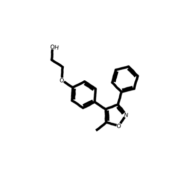 Cc1onc(-c2ccccc2)c1-c1ccc(OCCO)cc1